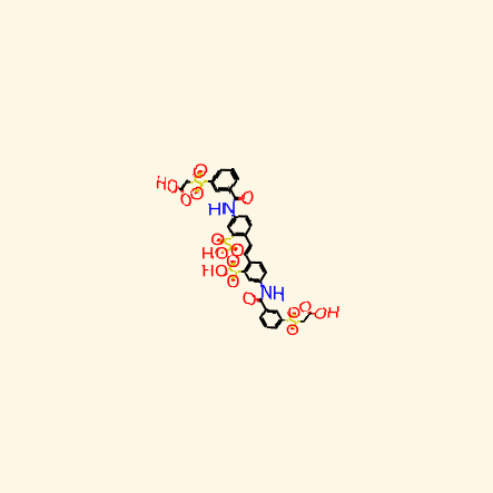 O=C(O)CS(=O)(=O)c1cccc(C(=O)Nc2ccc(C=Cc3ccc(NC(=O)c4cccc(S(=O)(=O)CC(=O)O)c4)cc3S(=O)(=O)O)c(S(=O)(=O)O)c2)c1